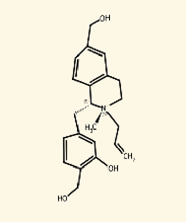 C=CC[N@@+]1(C)CCc2cc(CO)ccc2[C@H]1Cc1ccc(CO)c(O)c1